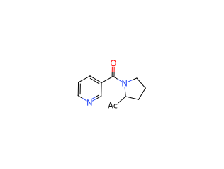 CC(=O)C1CCCN1C(=O)c1cccnc1